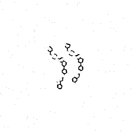 N#Cc1cccc(CC(=O)Nc2ccc(-c3ccc4ncc(N5CCN(Cc6cccnc6)CC5)nc4c3)cc2)c1.O=C(Cc1noc2ccccc12)Nc1ccc(-c2ccc3ncc(N4CCN(Cc5cccnc5)CC4)nc3c2)cc1